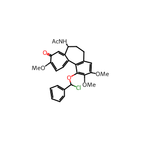 COc1cc2c(c(OC(Cl)c3ccccc3)c1OC)-c1ccc(OC)c(=O)cc1[C@@H](NC(C)=O)CC2